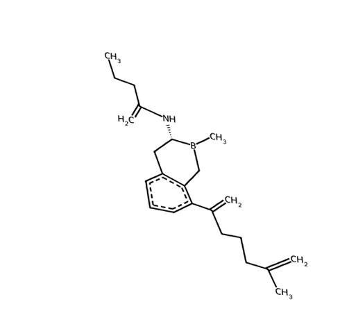 C=C(C)CCCC(=C)c1cccc2c1CB(C)[C@@H](NC(=C)CCC)C2